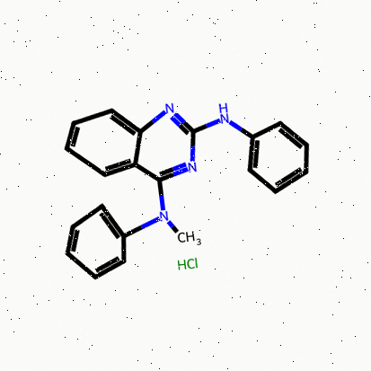 CN(c1ccccc1)c1nc(Nc2ccccc2)nc2ccccc12.Cl